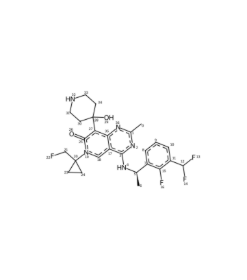 Cc1nc(N[C@H](C)c2cccc(C(F)F)c2F)c2cn(C3(CF)CC3)c(=O)c(C3(O)CCNCC3)c2n1